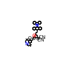 COc1c(/C=C/C2=CC(=C(C#N)C#N)C=C(/C=C/c3c4ccccc4c(-n4c5ccccc5c5ccccc54)c4ccccc34)O2)cc2c3c1C(C)(C)CCN3CCC2(C)C